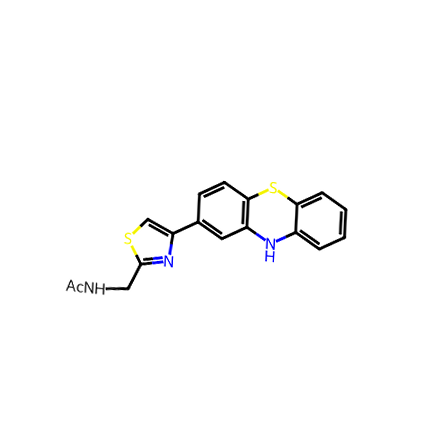 CC(=O)NCc1nc(-c2ccc3c(c2)Nc2ccccc2S3)cs1